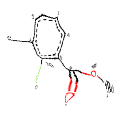 Cc1cccc(C(=O)OC(C)(C)C)c1F